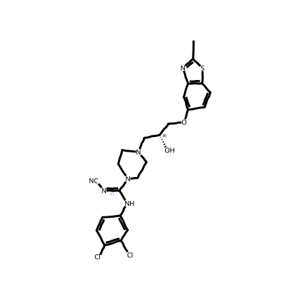 Cc1nc2cc(OC[C@H](O)CN3CCN(/C(=N\C#N)Nc4ccc(Cl)c(Cl)c4)CC3)ccc2s1